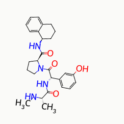 CN[C@@H](C)C(=O)N[C@H](C(=O)N1CCC[C@H]1C(=O)N[C@@H]1CCCc2ccccc21)c1cccc(O)c1